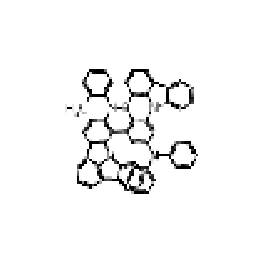 Cc1ccccc1N1B2c3c(cc(N(c4ccccc4)c4ccccc4)cc3-n3c4ccccc4c4cccc2c43)-c2c1ccc1c3cccc4c5ccccc5n(c21)c43